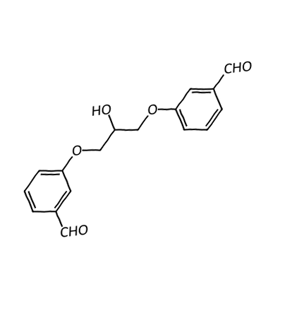 O=Cc1cccc(OCC(O)COc2cccc(C=O)c2)c1